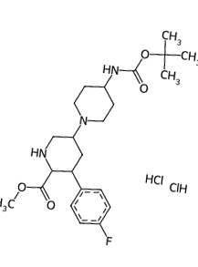 COC(=O)C1NCC(N2CCC(NC(=O)OC(C)(C)C)CC2)CC1c1ccc(F)cc1.Cl.Cl